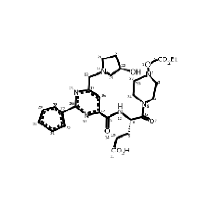 CCOC(=O)ON1CCN(C(=O)[C@H](CCC(=O)O)NC(=O)c2cc(CN3CC[C@@H](O)C3)nc(-c3ccccc3)n2)CC1